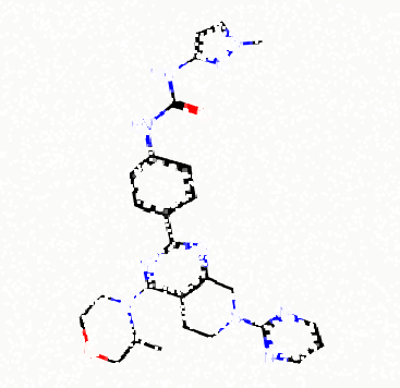 CC1COCCN1c1nc(-c2ccc(NC(=O)Nc3ccn(C)n3)cc2)nc2c1CCN(c1ncccn1)C2